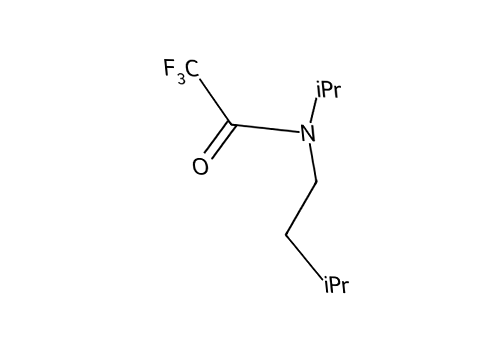 CC(C)CCN(C(=O)C(F)(F)F)C(C)C